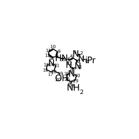 CC(C)n1cnc2c(NCc3ccccc3N3CCCC(CO)C3)nc(N3CCC(N)CC3)nc21